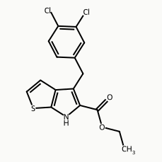 CCOC(=O)c1[nH]c2sccc2c1Cc1ccc(Cl)c(Cl)c1